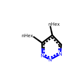 CCCCCCc1cnnnc1CCCCCC